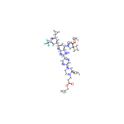 CCOC(=O)CCN1CCN(c2cnc(-c3nc4nc(-c5cc(C6CC6)nc(C(F)(F)F)c5)cc(N(C)CC5(COC)CCC5)c4[nH]3)cn2)C[C@H]1C